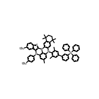 Cc1cc2c3c(c1)N(c1ccc(C(C)(C)C)cc1)c1c(sc4ccc(C(C)(C)C)cc14)B3c1cc3c(cc1N2c1c(C)cc(-c2cccc([Si](c4ccccc4)(c4ccccc4)c4ccccc4)c2)cc1C)C(C)(C)CCC3(C)C